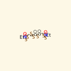 CCN1C(=O)/C(=C/C2=Cc3sc4c(c3C23CCCCC3)C2(CCCCC2)c2c-4sc3cc(/C=C4\SC(=S)N(CC)C4=O)sc23)SC1=S